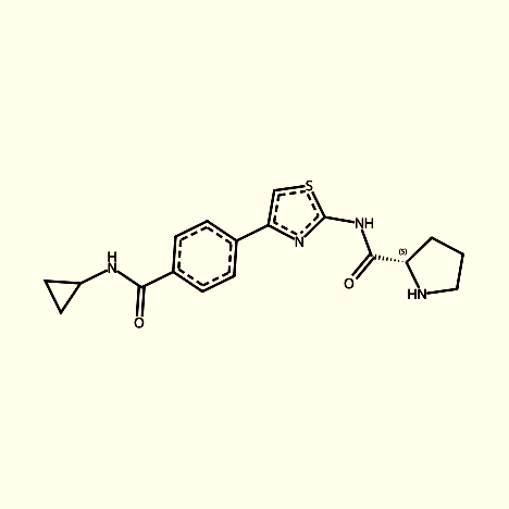 O=C(NC1CC1)c1ccc(-c2csc(NC(=O)[C@@H]3CCCN3)n2)cc1